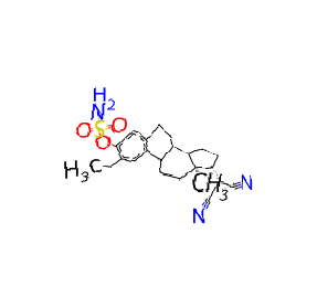 CCc1cc2c(cc1OS(N)(=O)=O)CCC1C2CC[C@@]2(C)C1CC[C@@H]2C(C#N)C#N